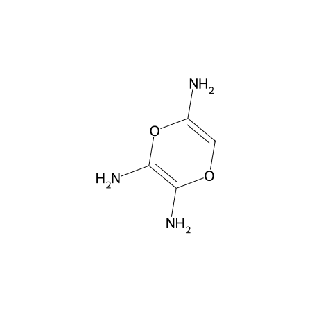 NC1=COC(N)=C(N)O1